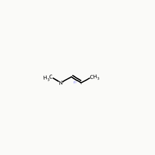 C/[C]=C/[N]C